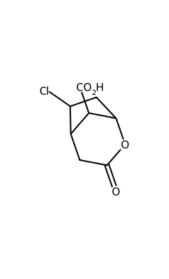 O=C1CC2C(Cl)CC(O1)C2C(=O)O